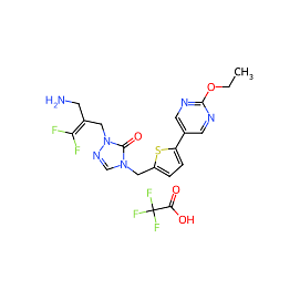 CCOc1ncc(-c2ccc(Cn3cnn(CC(CN)=C(F)F)c3=O)s2)cn1.O=C(O)C(F)(F)F